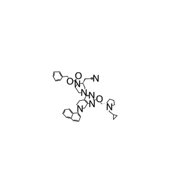 N#CC[C@H]1CN(c2nc(OC[C@@H]3CCCN3CC3CC3)nc3c2CCN(c2cccc4ccccc24)C3)CCN1C(=O)OCc1ccccc1